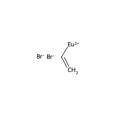 C=[CH][Eu+2].[Br-].[Br-]